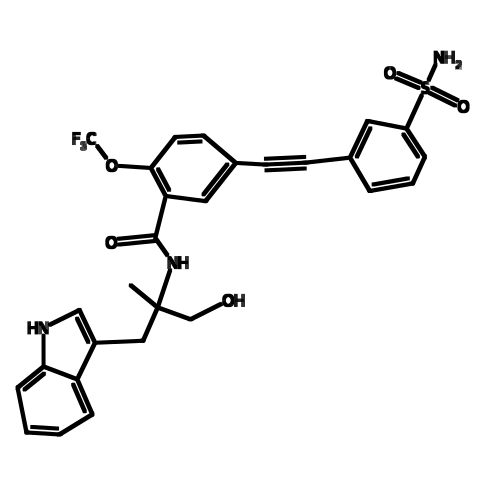 CC(CO)(Cc1c[nH]c2ccccc12)NC(=O)c1cc(C#Cc2cccc(S(N)(=O)=O)c2)ccc1OC(F)(F)F